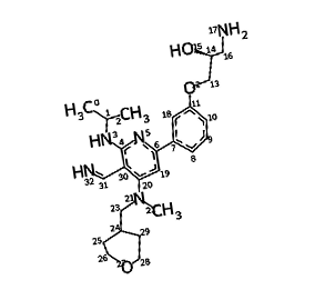 CC(C)Nc1nc(-c2cccc(OC[C@@H](O)CN)c2)cc(N(C)CC2CCOCC2)c1C=N